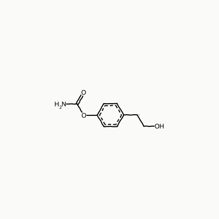 NC(=O)Oc1ccc([CH]CO)cc1